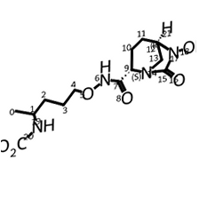 CC(CCCONC(=O)[C@@H]1CC[C@@H]2CN1C(=O)N2O)NC(=O)O